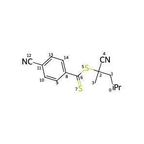 CC(C)CC(C)(C#N)SC(=S)c1ccc(C#N)cc1